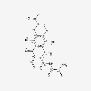 CC(=O)C1CCc2c(O)c3c(c(O)c2C1)C(=O)c1cccc(NC(=O)[C@H](C)N)c1C3=O